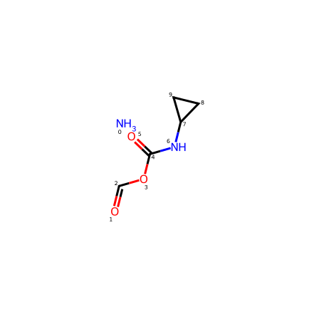 N.O=COC(=O)NC1CC1